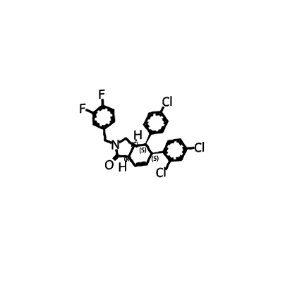 O=C1[C@@H]2C=C[C@H](c3ccc(Cl)cc3Cl)[C@H](c3ccc(Cl)cc3)[C@@H]2CN1Cc1ccc(F)c(F)c1